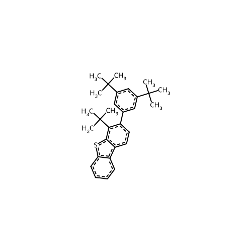 CC(C)(C)c1cc(-c2ccc3c(sc4ccccc43)c2C(C)(C)C)cc(C(C)(C)C)c1